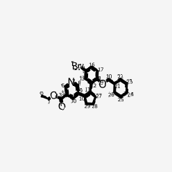 CCOC(=O)c1cncc(C2=C(c3cc(Br)ccc3OCC3CCCCC3)CCC2)c1